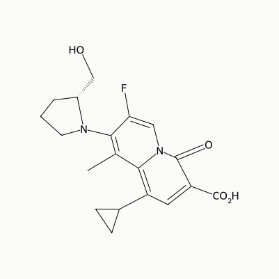 Cc1c(N2CCC[C@@H]2CO)c(F)cn2c(=O)c(C(=O)O)cc(C3CC3)c12